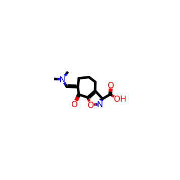 CN(C)C=C1CCCc2c(C(=O)O)noc2C1=O